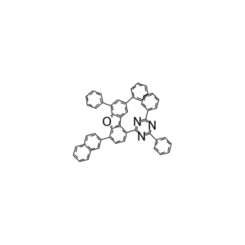 c1ccc(-c2cc(-c3ccccc3)c3oc4c(-c5ccc6ccccc6c5)ccc(-c5nc(-c6ccccc6)nc(-c6ccccc6)n5)c4c3c2)cc1